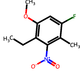 CCc1c(OC)cc(F)c(C)c1[N+](=O)[O-]